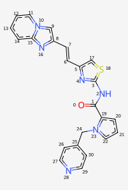 O=C(Nc1nc(C=Cc2cn3ccccc3n2)cs1)c1cccn1Cc1ccncc1